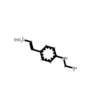 CCOC(=O)/C=C/c1ccc(NCS)cc1